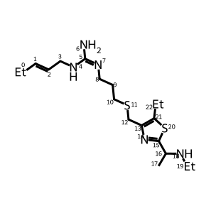 CCC=CCNC(N)=NCCCSCc1nc(C(C)NCC)sc1CC